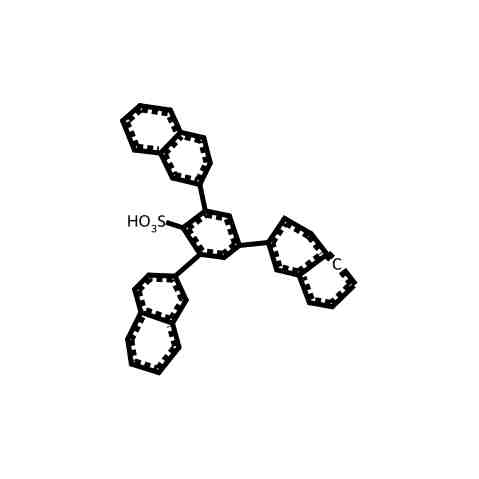 O=S(=O)(O)c1c(-c2ccc3ccccc3c2)cc(-c2ccc3ccccc3c2)cc1-c1ccc2ccccc2c1